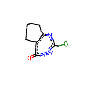 O=c1[nH]c(Cl)nc2c1CCC2